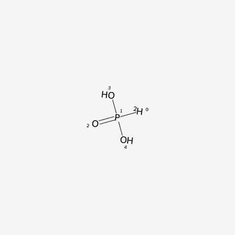 [2H]P(=O)(O)O